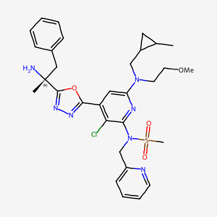 COCCN(CC1CC1C)c1cc(-c2nnc([C@](C)(N)Cc3ccccc3)o2)c(Cl)c(N(Cc2ccccn2)S(C)(=O)=O)n1